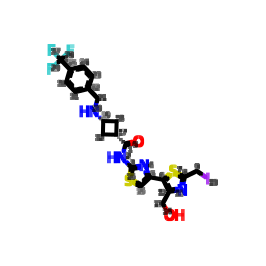 O=C(Nc1nc(-c2sc(CI)nc2CO)cs1)[C@H]1C[C@@H](NCc2ccc(C(F)(F)F)cc2)C1